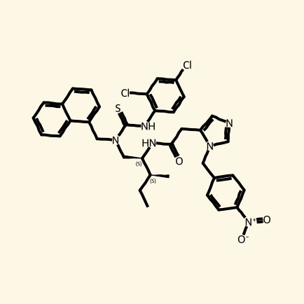 CC[C@H](C)[C@@H](CN(Cc1cccc2ccccc12)C(=S)Nc1ccc(Cl)cc1Cl)NC(=O)Cc1cncn1Cc1ccc([N+](=O)[O-])cc1